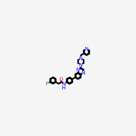 O=C(Cc1cccc(F)c1)Nc1ccc(-c2ccc3ncc(N4CCN(Cc5cccnc5)CC4)nc3c2)cc1